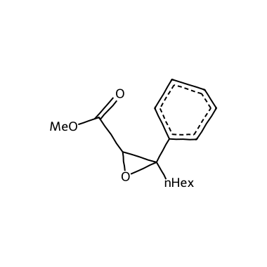 CCCCCCC1(c2ccccc2)OC1C(=O)OC